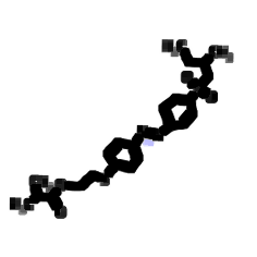 C=C(C)C(=O)OCCSc1ccc(/N=N/c2ccc(S(=O)(=O)CC(C)CC)cc2)cc1